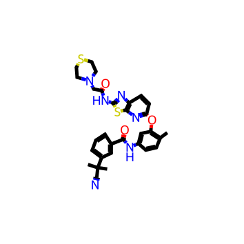 Cc1ccc(NC(=O)c2cccc(C(C)(C)C#N)c2)cc1Oc1ccc2nc(NC(=O)CN3CCSCC3)sc2n1